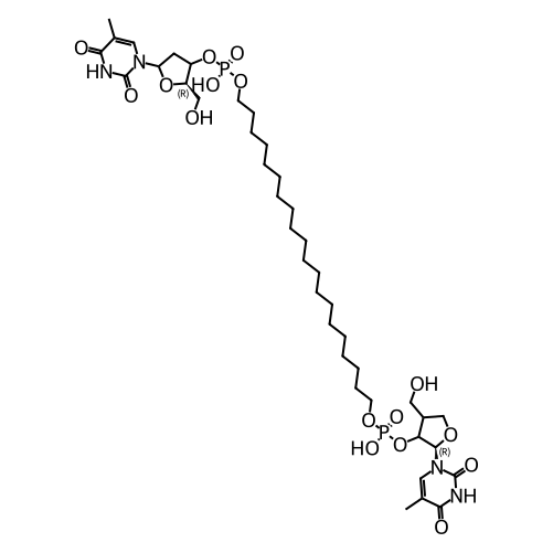 Cc1cn(C2CC(OP(=O)(O)OCCCCCCCCCCCCCCCCCCCCOP(=O)(O)OC3C(CO)CO[C@H]3n3cc(C)c(=O)[nH]c3=O)[C@@H](CO)O2)c(=O)[nH]c1=O